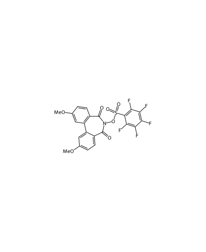 COc1ccc2c(=O)n(OS(=O)(=O)c3c(F)c(F)c(F)c(F)c3F)c(=O)c3ccc(OC)cc3c2c1